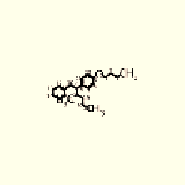 CCCCOc1ccc(C(CC2=CCCCC2)C(C)CCC)cc1